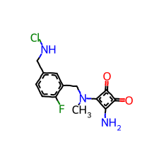 CN(Cc1cc(CNCl)ccc1F)c1c(N)c(=O)c1=O